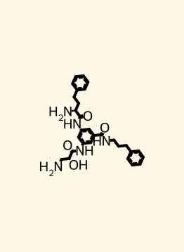 NC[C@H](O)C(=O)Nc1cc(NC(=O)[C@@H](N)CCc2ccccc2)cc(C(=O)NCCCc2ccccc2)c1